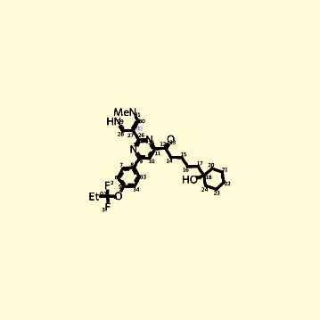 CCC(F)(F)Oc1ccc(-c2cc(C(=O)CCCCC3(O)CCCCC3)nc(/C(C=N)=C/NC)n2)cc1